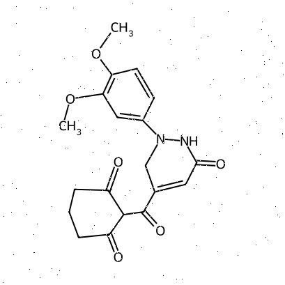 COc1ccc(N2CC(C(=O)C3C(=O)CCCC3=O)=CC(=O)N2)cc1OC